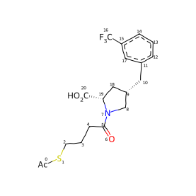 CC(=O)SCCCC(=O)N1C[C@@H](Cc2cccc(C(F)(F)F)c2)C[C@H]1C(=O)O